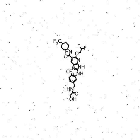 O=C(CO)NCc1ccc(C(F)(F)F)c(Nc2nc3cc(C(=O)N[C@H]4CC[C@H](C(F)(F)F)CC4)c(OCC(F)F)nc3[nH]2)c1